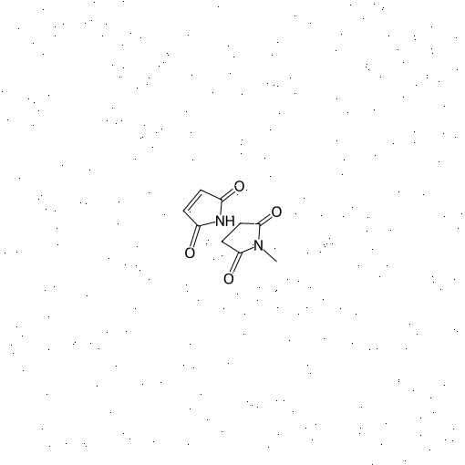 CN1C(=O)CCC1=O.O=C1C=CC(=O)N1